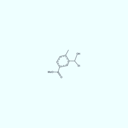 CCC(O)c1cc(C(=O)OC)ccc1C